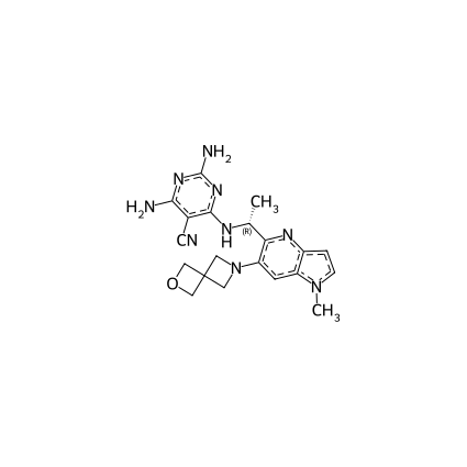 C[C@@H](Nc1nc(N)nc(N)c1C#N)c1nc2ccn(C)c2cc1N1CC2(COC2)C1